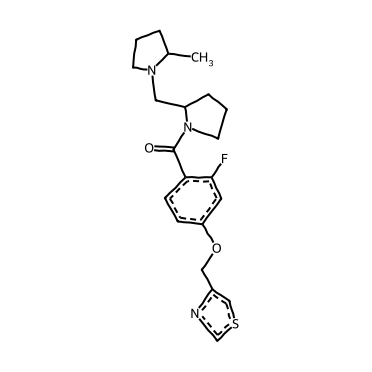 CC1CCCN1CC1CCCN1C(=O)c1ccc(OCc2cscn2)cc1F